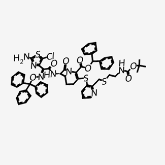 CC(C)(C)OC(=O)NCCSCc1ncccc1SC1=C(C(=O)OC(c2ccccc2)c2ccccc2)N2C(=O)[C@H](NC(=O)C(=NOC(c3ccccc3)(c3ccccc3)c3ccccc3)c3nc(N)sc3Cl)C2CC1